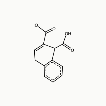 O=C(O)C1=CCc2ccccc2C1C(=O)O